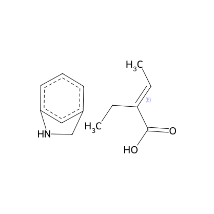 C/C=C(\CC)C(=O)O.c1cc2cc(c1)NC2